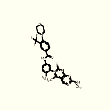 CNc1ncc2c(C)n(-c3cc(NC(=O)c4ccc(N5CCOCC5)c(C(F)(F)F)c4)ccc3C)c(=O)nc2n1